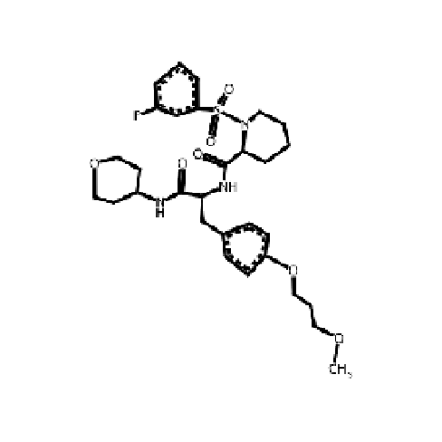 COCCCOc1ccc(C[C@H](NC(=O)C2CCCCN2S(=O)(=O)c2cccc(F)c2)C(=O)NC2CCOCC2)cc1